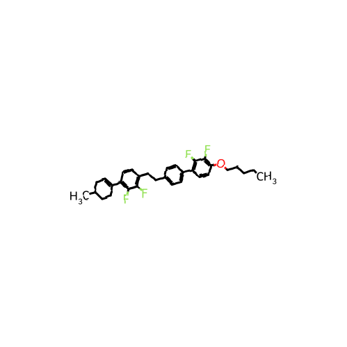 CCCCCOc1ccc(-c2ccc(CCc3ccc(C4=CCC(C)CC4)c(F)c3F)cc2)c(F)c1F